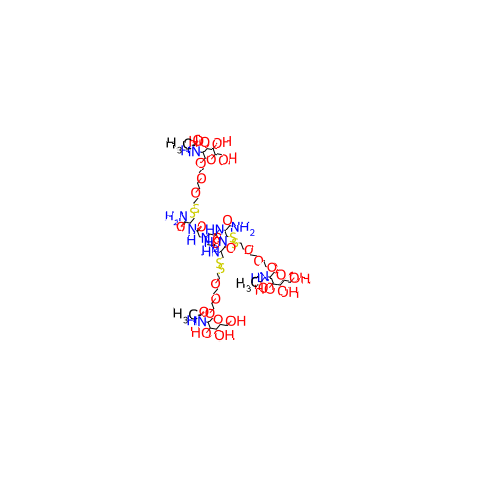 CC(=O)NC1C(OCCOCCOCCSSCC(NC(=O)CN(CC(=O)NC(CSSCCOCCOCCOC2OC(CO)C(O)C(O)C2NC(C)=O)C(N)=O)CC(=O)NC(CSSCCOCCOCCOC2OC(CO)C(O)C(O)C2NC(C)=O)C(N)=O)C(N)=O)OC(CO)C(O)C1O